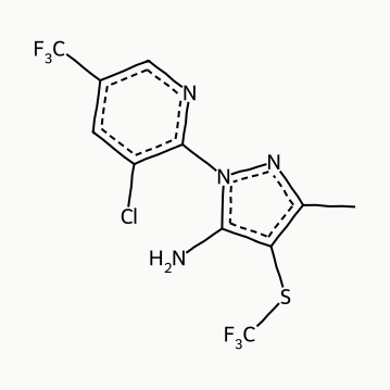 Cc1nn(-c2ncc(C(F)(F)F)cc2Cl)c(N)c1SC(F)(F)F